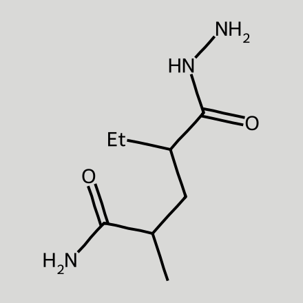 CCC(CC(C)C(N)=O)C(=O)NN